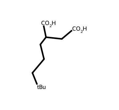 CC(C)(C)CCCC(CC(=O)O)C(=O)O